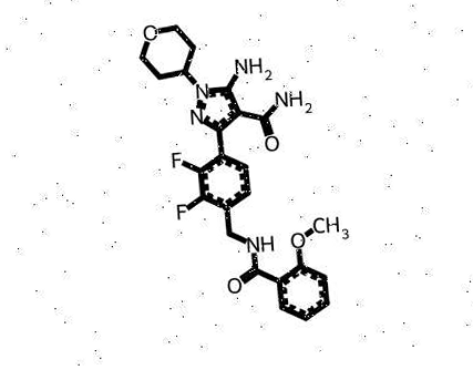 COc1ccccc1C(=O)NCc1ccc(-c2nn(C3CCOCC3)c(N)c2C(N)=O)c(F)c1F